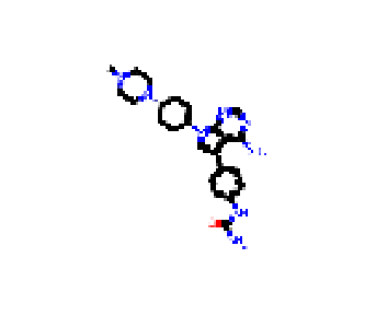 CN1CCN([C@H]2CC[C@H](n3cc(-c4ccc(NC(N)=O)cc4)c4c(N)ncnc43)CC2)CC1